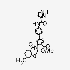 COC(=O)c1sc(-c2ccc(NC(=O)c3cc[nH]n3)cc2)cc1N(CC1CC1)C(=O)[C@H]1CC[C@H](C)CC1